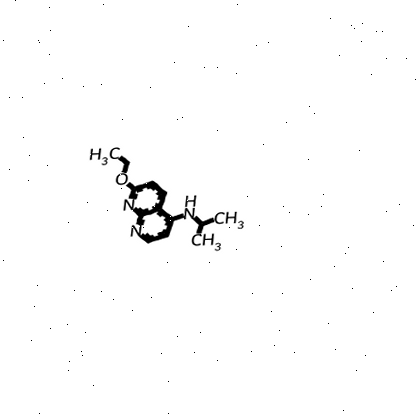 CCOc1ccc2c(NC(C)C)ccnc2n1